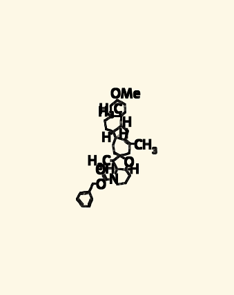 CO[C@@H]1CC[C@@]2(C)[C@H](CC[C@H]3[C@@H]4CC[C@@]5(CC(C)=C4C[C@@H]32)O[C@@H]2CCCN(C(=O)OCc3ccccc3)[C@H]2[C@H]5C)C1